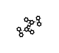 c1ccc2c(c1)c1ccccc1n2-c1cc2c3ccccc3n3c2c(c1)c1c3c2cc(-n3c4ccccc4c4ccccc43)cc3c4ccccc4n1c32